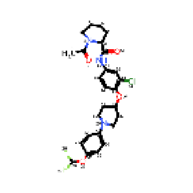 CC(=O)N1CCCCC1C(=O)Nc1ccc(OC2CCN(c3ccc(OC(F)F)cc3)CC2)c(Cl)c1